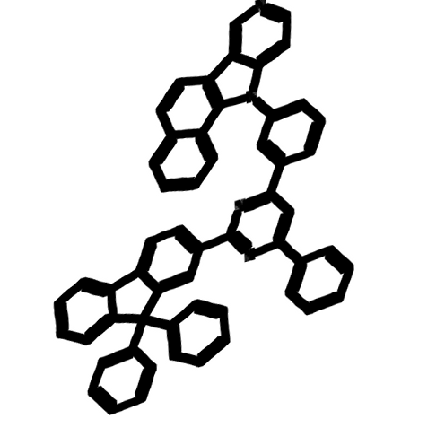 c1ccc(-c2cc(-c3cccc(-n4c5ccncc5c5ccc6ccccc6c54)c3)nc(-c3ccc4c(c3)C(c3ccccc3)(c3ccccc3)c3ccccc3-4)n2)cc1